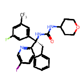 O=C(NC1CCOCC1)N[C@](Cc1ccccc1)(c1cc(F)cc(C(F)(F)F)c1)c1ccc(I)cn1